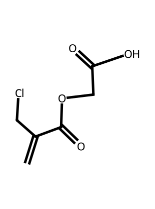 C=C(CCl)C(=O)OCC(=O)O